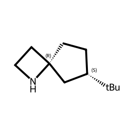 CC(C)(C)[C@H]1CC[C@]2(CCN2)C1